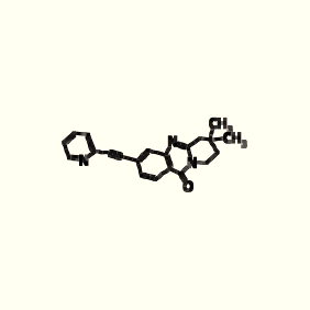 CC1(C)CCn2c(nc3cc(C#Cc4ccccn4)ccc3c2=O)C1